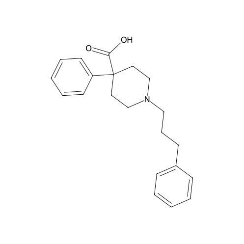 O=C(O)C1(c2ccccc2)CCN(CCCc2ccccc2)CC1